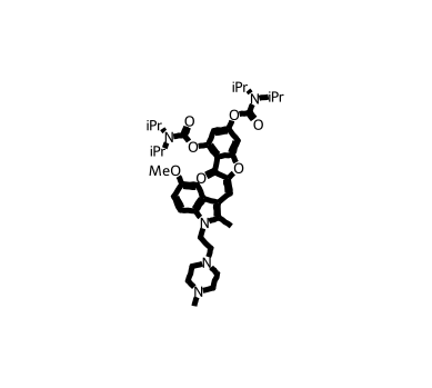 COc1ccc2c(c1)c(C=C1Oc3cc(OC(=O)N(C(C)C)C(C)C)cc(OC(=O)N(C(C)C)C(C)C)c3C1=O)c(C)n2CCN1CCN(C)CC1